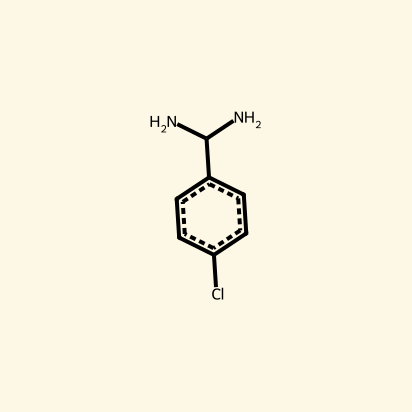 NC(N)c1ccc(Cl)cc1